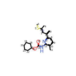 C=C(/C=C(\C)SC)c1ccc(C)c(NC(=O)OC2CCCCC2)n1